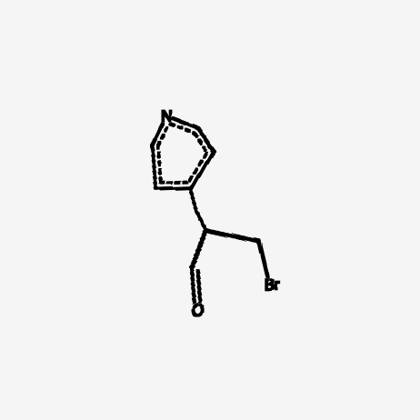 O=CC(CBr)c1ccncc1